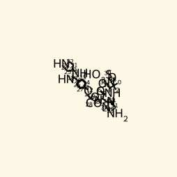 CC1(C)[C@H](NC(=O)/C(=N\O[C@@H](COc2ccc(C(=N)NC3CCNCC3)cc2)C(=O)O)c2nsc(N)n2)C(=O)N1OS(=O)(=O)O